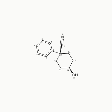 N#C[C@]1(c2ccccc2)CC[C@H](O)CC1